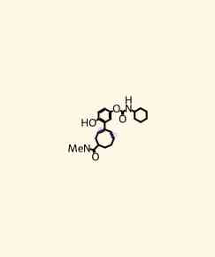 CNC(=O)C1C/C=C(c2cc(OC(=O)NC3CCCCC3)ccc2O)\C=C/CC1